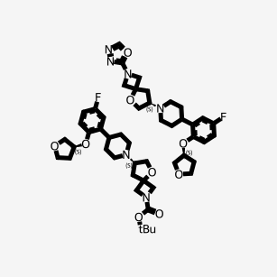 CC(C)(C)OC(=O)N1CC2(C[C@H](N3CCC(c4cc(F)ccc4O[C@H]4CCOC4)CC3)CO2)C1.Fc1ccc(O[C@H]2CCOC2)c(C2CCN([C@@H]3COC4(C3)CN(c3nnco3)C4)CC2)c1